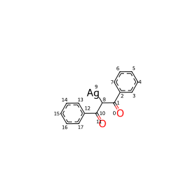 O=C(c1ccccc1)[CH]([Ag])C(=O)c1ccccc1